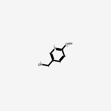 COc1ccc(CN=O)cn1